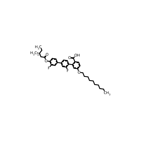 CCCCCCCCCCOc1ccc(C(=O)O)c(-c2ccc(-c3ccc(OC(=O)C[C@@H](C)CC)c(F)c3)cc2F)c1